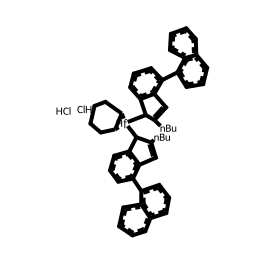 CCCCC1=Cc2c(-c3cccc4ccccc34)cccc2[CH]1[Hf]1([CH]2C(CCCC)=Cc3c(-c4cccc5ccccc45)cccc32)[CH]2CCCC[CH]21.Cl.Cl